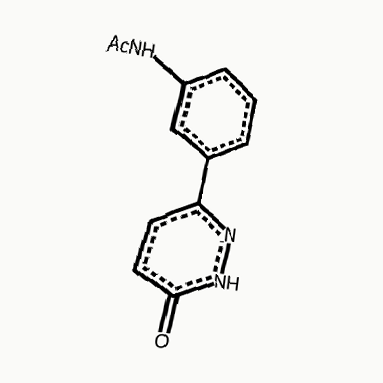 CC(=O)Nc1cccc(-c2ccc(=O)[nH]n2)c1